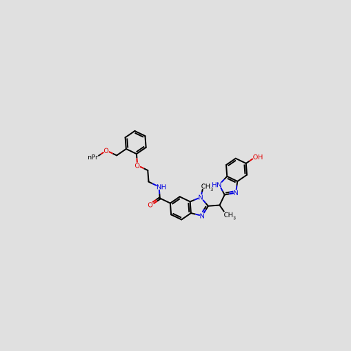 CCCOCc1ccccc1OCCNC(=O)c1ccc2nc(C(C)c3nc4cc(O)ccc4[nH]3)n(C)c2c1